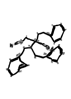 O=C(O)C[C@@](Cc1ccccc1)(C(=O)O)N(Cc1ccccc1)Cc1ccccc1